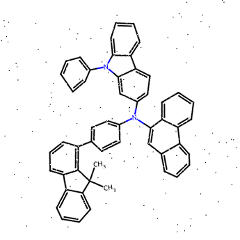 CC1(C)c2ccccc2-c2cccc(-c3ccc(N(c4ccc5c6ccccc6n(-c6ccccc6)c5c4)c4cc5ccccc5c5ccccc45)cc3)c21